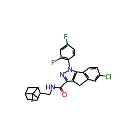 CC1(C)C2CCC(CNC(=O)c3nn(-c4ccc(F)cc4F)c4c3Cc3cc(Cl)ccc3-4)C1C2